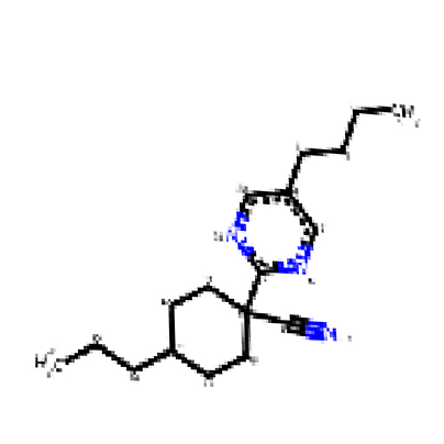 CCCCc1cnc(C2(C#N)CCC(CCC)CC2)nc1